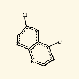 [Li][c]1ccnc2ccc(Cl)cc12